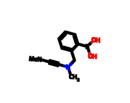 CNC#CN(C)Cc1ccccc1B(O)O